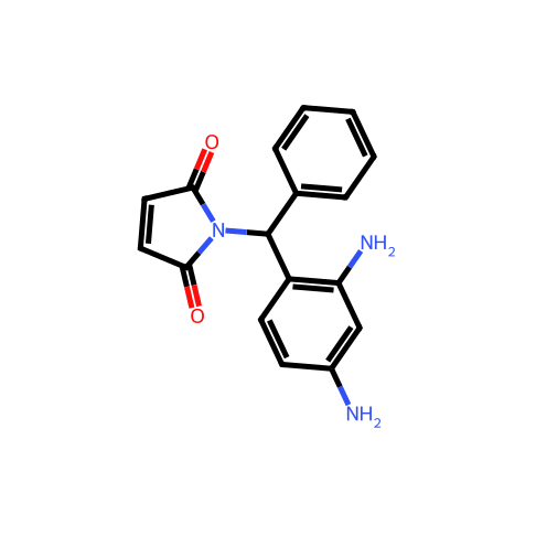 Nc1ccc(C(c2ccccc2)N2C(=O)C=CC2=O)c(N)c1